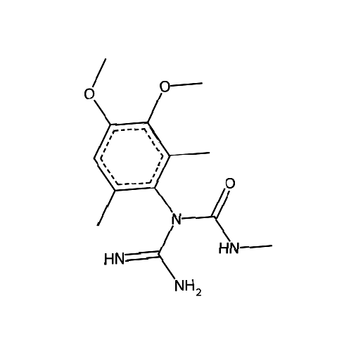 CNC(=O)N(C(=N)N)c1c(C)cc(OC)c(OC)c1C